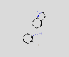 Brc1ccccc1Nc1ccc2[nH]ccc2c1